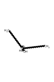 CCCCCCCCCCCCCCCCCCCCCC(=O)OC(C(=O)CCCCCCCCCCCCCCCCCCCCC)C(O)CO